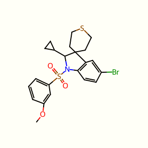 COc1cccc(S(=O)(=O)N2c3ccc(Br)cc3C3(CCSCC3)C2C2CC2)c1